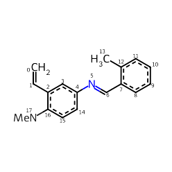 C=Cc1cc(/N=C/c2ccccc2C)ccc1NC